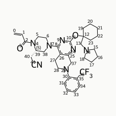 C=CC(=O)N1CCN(c2nc(OC3(CN4CCCC4)CCCCC3)nc3c2CCN(c2ccccc2C(F)(F)F)C3)C[C@@H]1CC#N